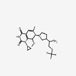 COC1c2c(c(=O)[nH]c(=O)n2C2CC2)C=C(F)C1N1CCC(C(N)COC(F)(F)F)C1